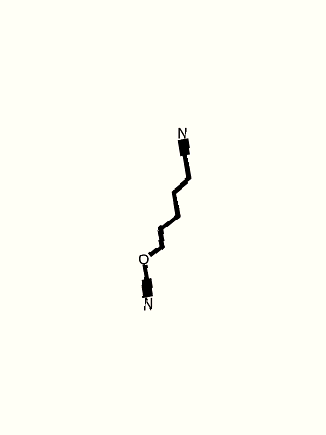 N#CCCCCCOC#N